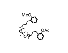 COc1ccccc1CCC[Si](C)(C)O[Si](C)(C)O[Si](C)(C)CCCc1ccccc1OC(C)=O